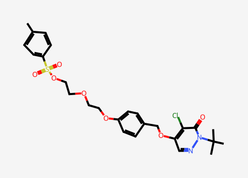 Cc1ccc(S(=O)(=O)OCCOCCOc2ccc(COc3cnn(C(C)(C)C)c(=O)c3Cl)cc2)cc1